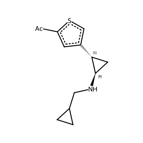 CC(=O)c1cc([C@@H]2C[C@H]2NCC2CC2)cs1